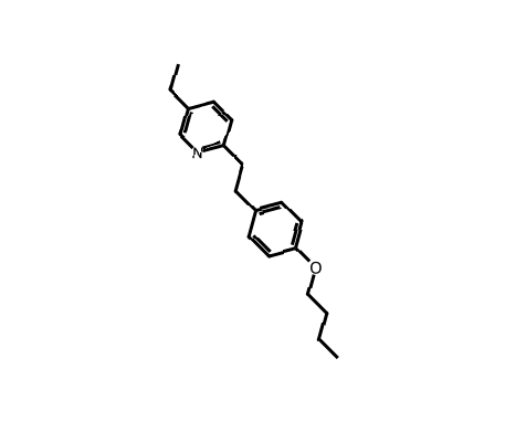 CCCCOc1ccc(CCc2ccc(CC)cn2)cc1